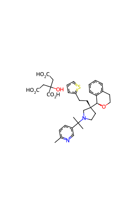 Cc1ccc(C(C)(C)N2CC[C@@](CCc3cccs3)([C@@H]3OCCc4ccccc43)C2)cn1.O=C(O)CC(O)(CC(=O)O)C(=O)O